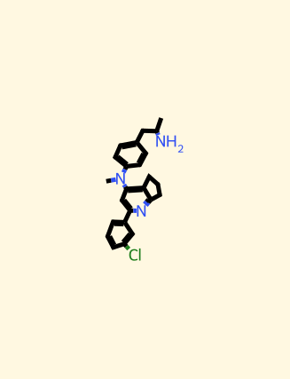 CC(N)Cc1ccc(N(C)c2cc(-c3cccc(Cl)c3)nc3c2CCC3)cc1